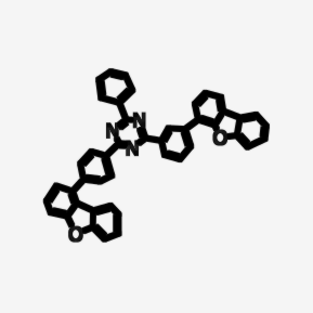 c1ccc(-c2nc(-c3ccc(-c4cccc5oc6ccccc6c45)cc3)nc(-c3cccc(-c4cccc5c4oc4ccccc45)c3)n2)cc1